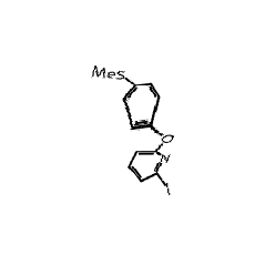 CSc1ccc(Oc2cccc(I)n2)cc1